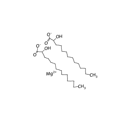 CCCCCCCCCCCCC(O)C(=O)[O-].CCCCCCCCCCCCC(O)C(=O)[O-].[Mg+2]